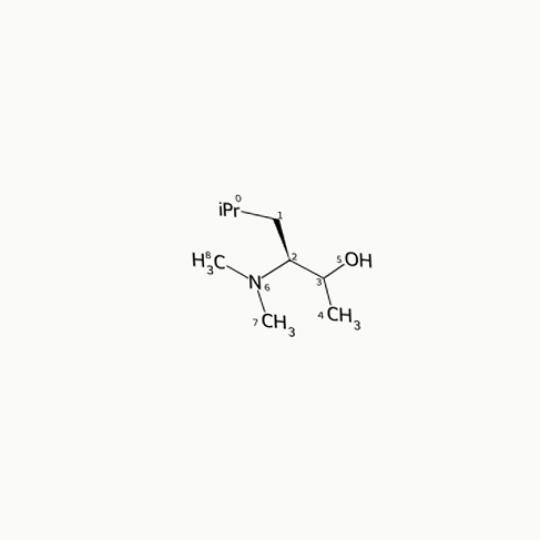 CC(C)C[C@@H](C(C)O)N(C)C